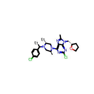 CCC(c1ccc(Cl)cc1)N1C[C@H](C)N(c2nc(Cl)nc3c2nc(C)n3C[C@@H]2CCCO2)C[C@H]1CC